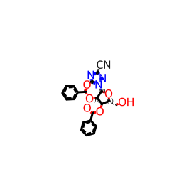 N#Cc1ncn([C@@H]2O[C@H](CO)C(OC(=O)c3ccccc3)[C@H]2OC(=O)c2ccccc2)n1